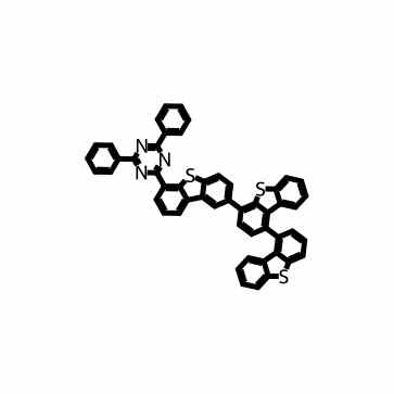 c1ccc(-c2nc(-c3ccccc3)nc(-c3cccc4c3sc3ccc(-c5ccc(-c6cccc7sc8ccccc8c67)c6c5sc5ccccc56)cc34)n2)cc1